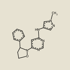 Cn1cc(Nc2cc(N3OCCC3c3ccccc3)ncn2)cn1